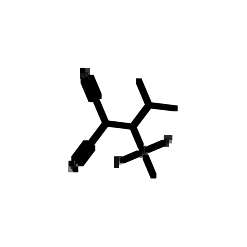 CC(C)C(C(C#N)C#N)S(C)(F)F